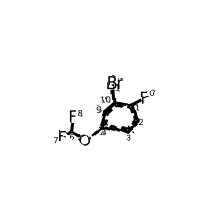 Fc1c[c]c(OC(F)F)cc1Br